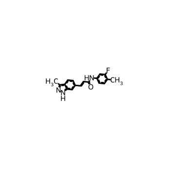 Cc1ccc(NC(=O)/C=C/c2ccc3c(C)n[nH]c3c2)cc1F